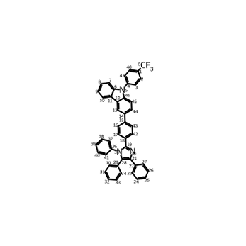 FC(F)(F)c1ccc(-n2c3ccccc3c3cc(-c4ccc(-c5nc(-c6ccccc6)c(-c6ccccc6)n5-c5ccccc5)cc4)ccc32)cc1